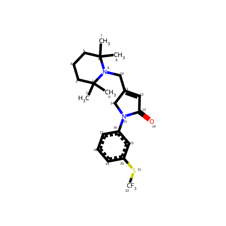 CC1(C)CCCC(C)(C)N1CC1=CC(=O)N(c2cccc(SC(F)(F)F)c2)C1